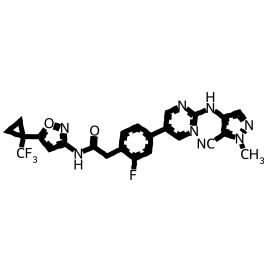 Cn1ncc(Nc2ncc(-c3ccc(CC(=O)Nc4cc(C5(C(F)(F)F)CC5)on4)c(F)c3)cn2)c1C#N